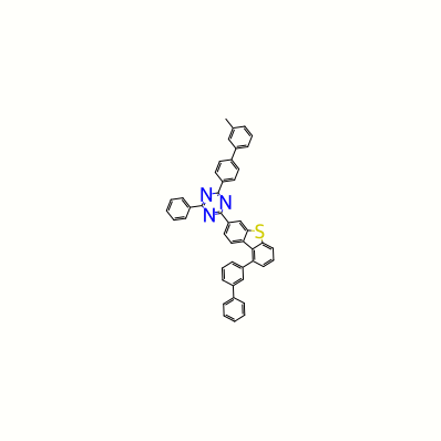 Cc1cccc(-c2ccc(-c3nc(-c4ccccc4)nc(-c4ccc5c(c4)sc4cccc(-c6cccc(-c7ccccc7)c6)c45)n3)cc2)c1